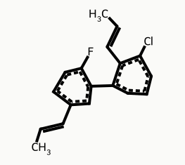 C/C=C/c1ccc(F)c(-c2cccc(Cl)c2/C=C/C)c1